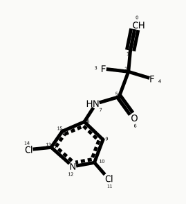 C#CC(F)(F)C(=O)Nc1cc(Cl)nc(Cl)c1